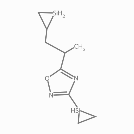 CC(CC1C[SiH2]1)c1nc([SiH]2CC2)no1